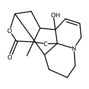 CC12CC34C5CCCN3CC=CC4(O)C1CC5OC2=O